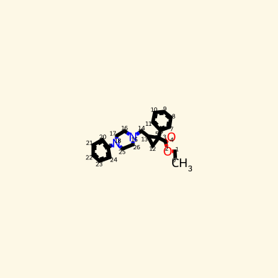 CCOC(=O)C1(c2ccccc2)CC1CN1CCN(c2ccccc2)CC1